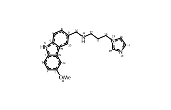 COc1ccc2[nH]c3ccc(CNCCCn4ccnc4)cc3c2c1